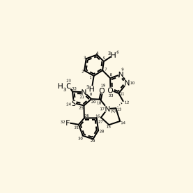 [3H]c1cccc([3H])c1-c1nnc(C[C@@H]2CCCN2C(=O)c2nc(C)sc2-c2ccccc2F)o1